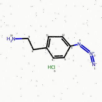 Cl.[N-]=[N+]=Nc1ccc(CCN)cc1